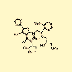 COCC(O)CO[C@@H](Cn1c(=O)n(C2CCNC2=O)c(=O)c2c(C)c(-c3ncco3)sc21)c1ccccc1OC